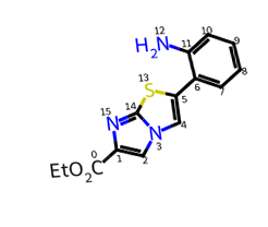 CCOC(=O)c1cn2cc(-c3ccccc3N)sc2n1